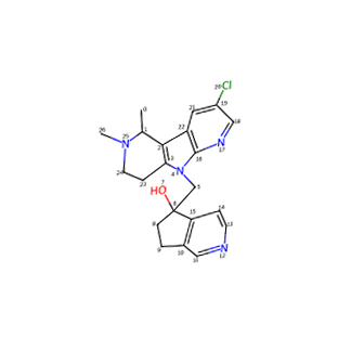 CC1c2c(n(CC3(O)CCc4cnccc43)c3ncc(Cl)cc23)CCN1C